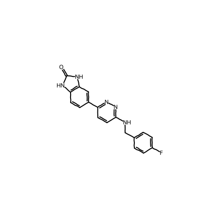 O=c1[nH]c2ccc(-c3ccc(NCc4ccc(F)cc4)nn3)cc2[nH]1